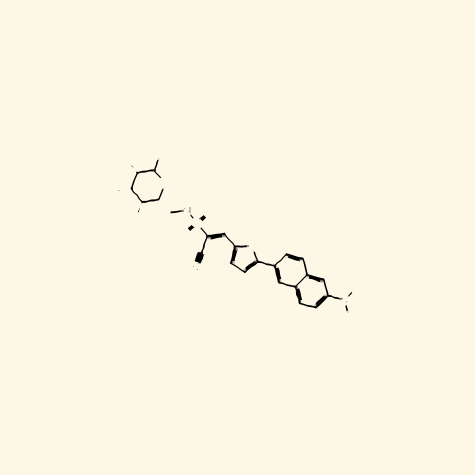 CN(C)c1ccc2cc(-c3ccc(/C=C(\C#N)S(=O)(=O)NC[C@H]4OC(O)[C@H](O)[C@@H](O)[C@@H]4O)o3)ccc2c1